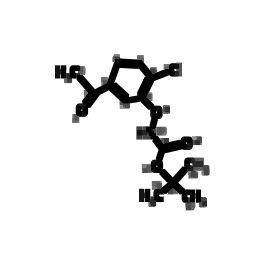 CC(=O)c1ccc(Cl)c(ONC(=O)OC(C)(C)C)c1